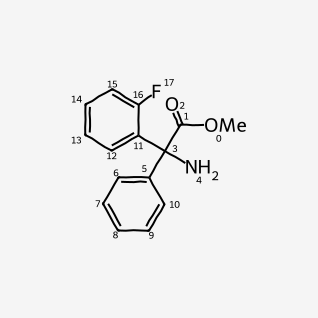 COC(=O)C(N)(c1ccccc1)c1ccccc1F